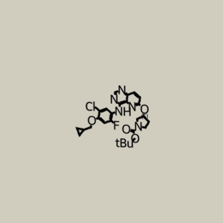 CC(C)(C)OC(=O)N1CC[C@H](Oc2ccc3ncnc(Nc4cc(Cl)c(OCC5CC5)cc4F)c3n2)C1